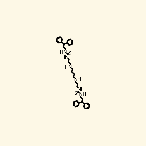 S=C(NCCCNCCCCNCCCNC(=S)NCCC(c1ccccc1)c1ccccc1)NCCC(c1ccccc1)c1ccccc1